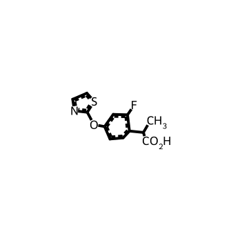 CC(C(=O)O)c1ccc(Oc2nccs2)cc1F